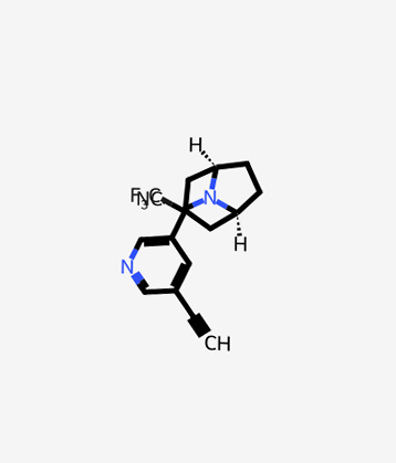 C#Cc1cncc([C@@]2(C#N)C[C@H]3CC[C@@H](C2)N3CC(F)(F)F)c1